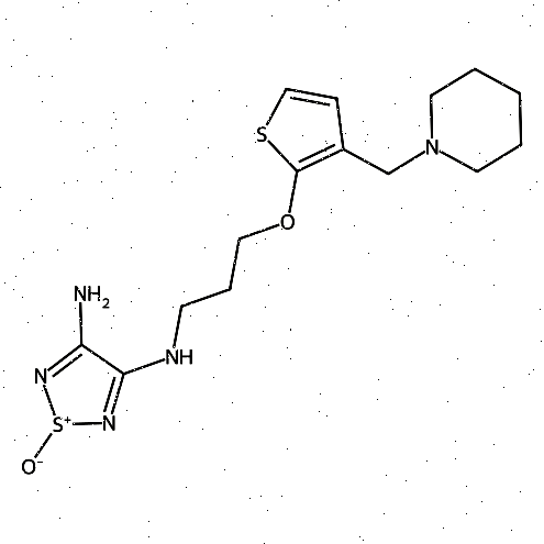 Nc1n[s+]([O-])nc1NCCCOc1sccc1CN1CCCCC1